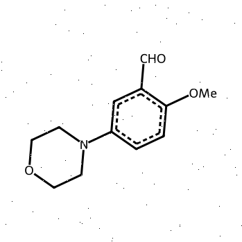 COc1ccc(N2CCOCC2)cc1C=O